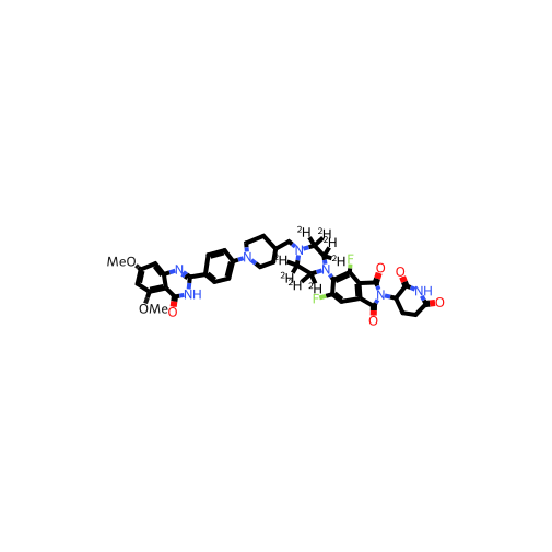 [2H]C1([2H])N(CC2CCN(c3ccc(-c4nc5cc(OC)cc(OC)c5c(=O)[nH]4)cc3)CC2)C([2H])([2H])C([2H])([2H])N(c2c(F)cc3c(c2F)C(=O)N(C2CCC(=O)NC2=O)C3=O)C1([2H])[2H]